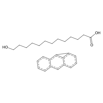 O=C(O)CCCCCCCCCCCCO.c1ccc2c3c4c-3cccc4cc2c1